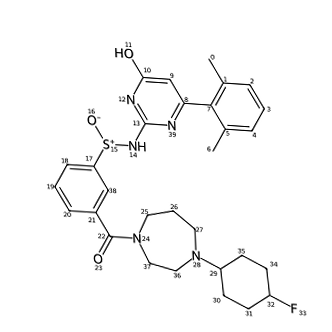 Cc1cccc(C)c1-c1cc(O)nc(N[S+]([O-])c2cccc(C(=O)N3CCCN(C4CCC(F)CC4)CC3)c2)n1